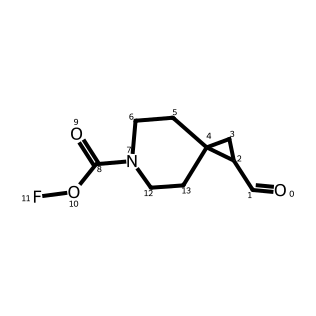 O=CC1CC12CCN(C(=O)OF)CC2